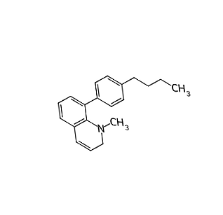 CCCCc1ccc(-c2cccc3c2N(C)CC=C3)cc1